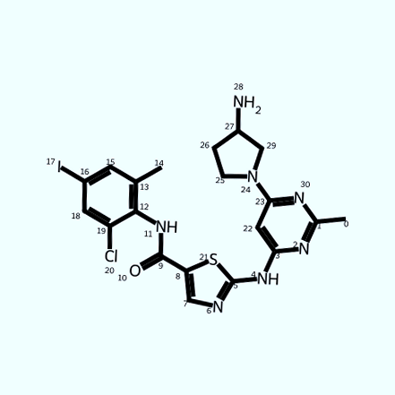 Cc1nc(Nc2ncc(C(=O)Nc3c(C)cc(I)cc3Cl)s2)cc(N2CCC(N)C2)n1